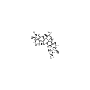 CCC1(n2cc(C(Nc3cc(Cl)c4ncc(C#N)c(NCC(C)(C)C)c4c3)c3cccc4c(=O)n(C)ccc34)nn2)CC1